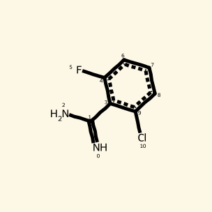 N=C(N)c1c(F)cccc1Cl